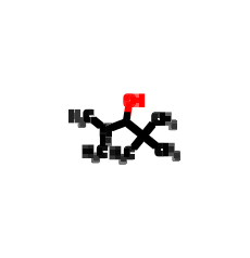 C[SiH](C)C(O)C(C)(C)C